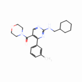 Cc1cccc(-c2nc(NCC3CCCCC3)ncc2C(=O)N2CCOCC2)c1